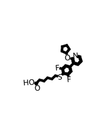 O=C(O)CCCCCSc1c(F)cc(-c2cccnc2OC2CCCC2)cc1F